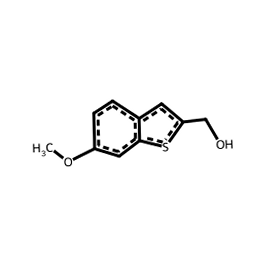 COc1ccc2cc(CO)sc2c1